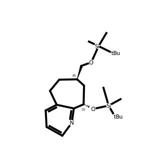 CC(C)(C)[Si](C)(C)OC[C@@H]1CCc2cccnc2[C@@H](O[Si](C)(C)C(C)(C)C)C1